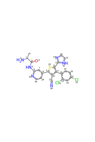 CC(N)C(=O)Nc1cc(-c2sc(-c3ncc[nH]3)c(-c3ccc(Cl)cc3Cl)c2C#N)ccn1